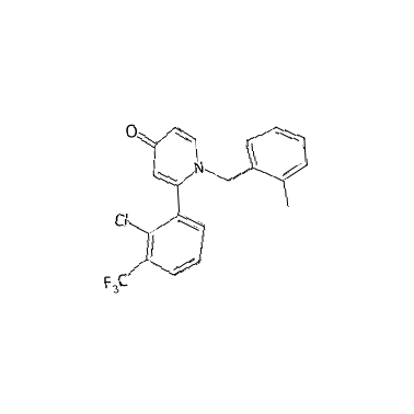 Cc1ccccc1Cn1ccc(=O)cc1-c1cccc(C(F)(F)F)c1Cl